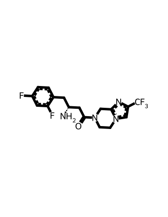 N[C@@H](CC(=O)N1CCn2cc(C(F)(F)F)nc2C1)Cc1ccc(F)cc1F